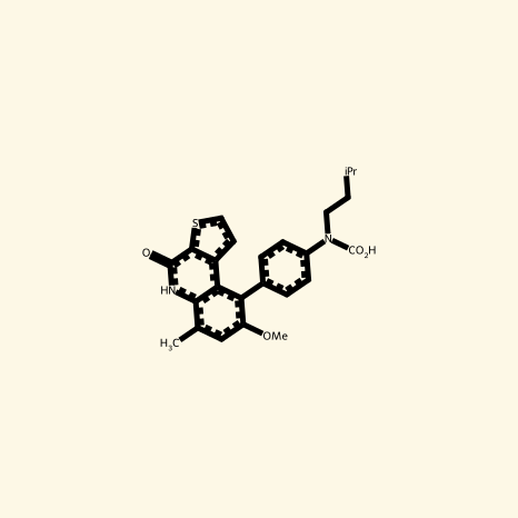 COc1cc(C)c2[nH]c(=O)c3sccc3c2c1-c1ccc(N(CCC(C)C)C(=O)O)cc1